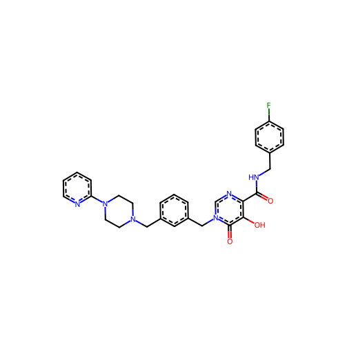 O=C(NCc1ccc(F)cc1)c1ncn(Cc2cccc(CN3CCN(c4ccccn4)CC3)c2)c(=O)c1O